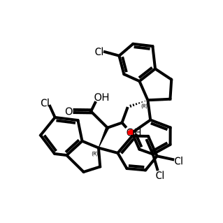 O=C(O)C(C(O)C[C@@]1(c2ccc(Cl)cc2)CCc2ccc(Cl)cc21)[C@@]1(c2ccc(Cl)cc2)CCc2ccc(Cl)cc21